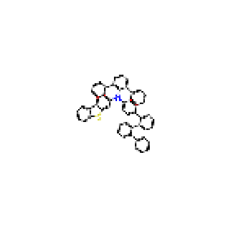 c1ccc(-c2ccccc2-c2ccccc2-c2ccc(N(c3ccc4c(c3)sc3ccccc34)c3c(-c4ccccc4)cccc3-c3ccccc3)cc2)cc1